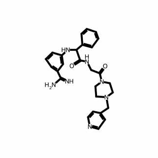 N=C(N)c1cccc(NC(C(=O)NCC(=O)N2CCN(Cc3ccncc3)CC2)c2ccccc2)c1